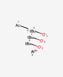 CC(C)(C)[O-].CC(C)(C)[O-].CC(C)(C)[O-].CC(C)=O.[Al+3]